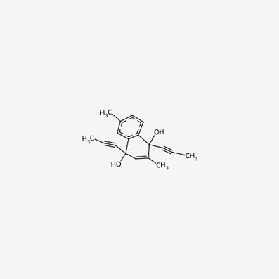 CC#CC1(O)C=C(C)C(O)(C#CC)c2ccc(C)cc21